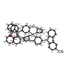 N#Cc1ccc2c(c1)c1ccccc1n2-c1cnc2c(c1)C1(c3ccccc3Oc3ccc(N4c5ccccc5Oc5ccccc54)cc31)c1cc(-n3c4ccccc4c4ccccc43)cnc1-2